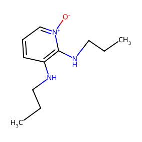 CCCNc1ccc[n+]([O-])c1NCCC